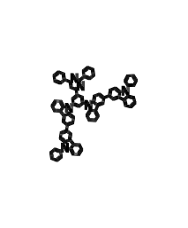 c1ccc(-c2cc(-c3cc(-n4c5ccccc5c5cc(-c6ccc7c(c6)c6ccccc6n7-c6ccccc6)ccc54)cc(-n4c5ccccc5c5cc(-c6ccc7c(c6)c6ccccc6n7-c6ccccc6)ccc54)c3)nc(-c3ccccc3)n2)cc1